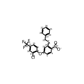 O=[N+]([O-])c1ccc(Oc2ccc(C(F)(F)F)cc2Cl)cc1SCc1ccccc1